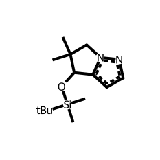 CC1(C)Cn2nccc2C1O[Si](C)(C)C(C)(C)C